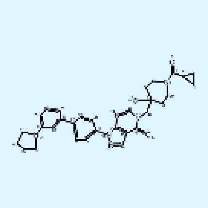 O=C(C1CC1)N1CCC(O)(Cn2cnc3c(cnn3-c3ccc(-c4cccc(N5CCCC5)c4)cc3)c2=O)CC1